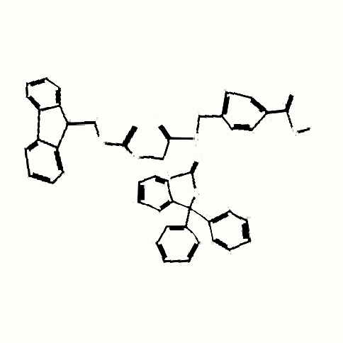 O=C(C[C@H](NC(=O)OCC1c2ccccc2-c2ccccc21)C(=O)NCc1ccc(C(=O)NO)cc1)NC(c1ccccc1)(c1ccccc1)c1ccccc1